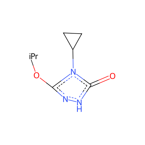 CC(C)Oc1n[nH]c(=O)n1C1CC1